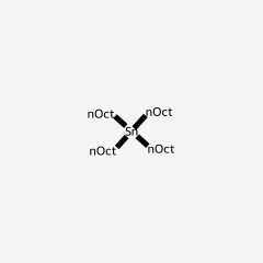 CCCCCCC[CH2][Sn]([CH2]CCCCCCC)([CH2]CCCCCCC)[CH2]CCCCCCC